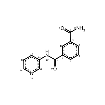 NC(=O)c1cccc(C(=O)Nc2cccnc2)c1